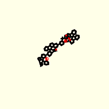 CC1(C)c2cc(-c3ccc4c5c(ccc4c3)-c3ccccc3C53c4ccccc4-c4ccc(-c5cccc6c5Oc5ccccc5C65c6ccccc6-c6ccccc65)cc43)ccc2Oc2c(-c3cccc4c3C3(c5ccccc5-4)c4ccccc4-c4ccc5ccccc5c43)cccc21